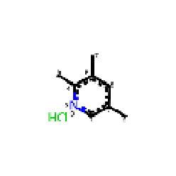 Cc1cnc(C)c(C)c1.Cl